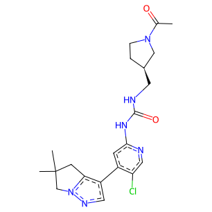 CC(=O)N1CC[C@H](CNC(=O)Nc2cc(-c3cnn4c3CC(C)(C)C4)c(Cl)cn2)C1